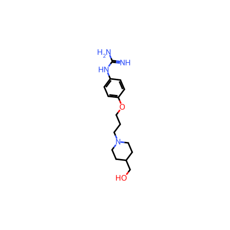 N=C(N)Nc1ccc(OCCCN2CCC(CO)CC2)cc1